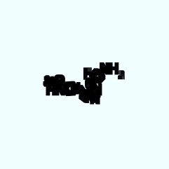 CC(C)(C)OC(=O)NC1CCN(Cc2ccn3ncnc(Oc4ccc(N)cc4F)c23)CC1